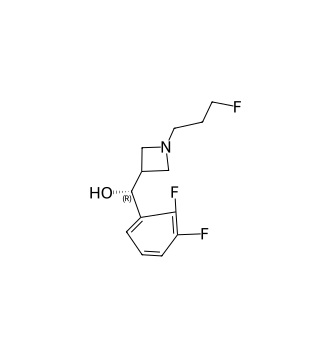 O[C@@H](c1cccc(F)c1F)C1CN(CCCF)C1